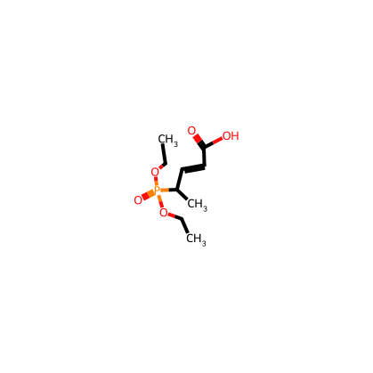 CCOP(=O)(OCC)C(C)C=CC(=O)O